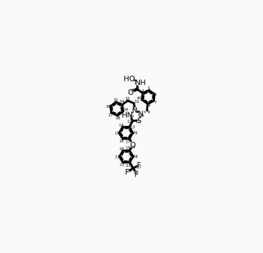 O=C(NO)c1cccc(C=[N+]2SC(c3cccc(Oc4cccc(C(F)(F)F)c4)c3)NN2CCc2ccccc2)c1